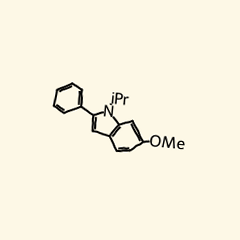 COc1ccc2cc(-c3ccccc3)n(C(C)C)c2c1